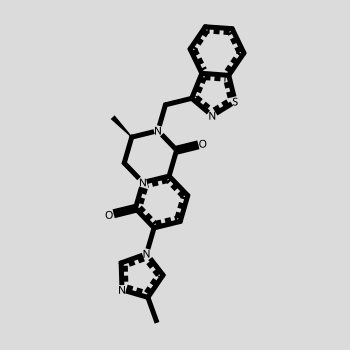 Cc1cn(-c2ccc3n(c2=O)C[C@@H](C)N(Cc2nsc4ccccc24)C3=O)cn1